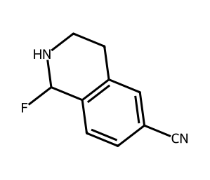 N#Cc1ccc2c(c1)CCNC2F